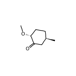 CO[C@@H]1CC[C@@H](C)CC1=O